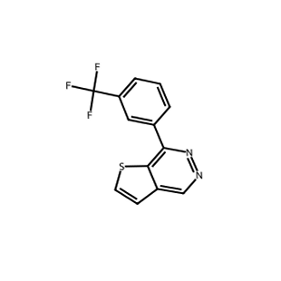 FC(F)(F)c1cccc(-c2nncc3ccsc23)c1